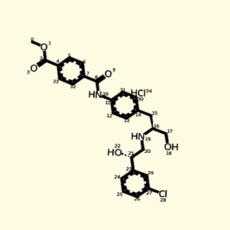 COC(=O)c1ccc(C(=O)Nc2ccc(C[C@@H](CO)NC[C@@H](O)c3cccc(Cl)c3)cc2)cc1.Cl